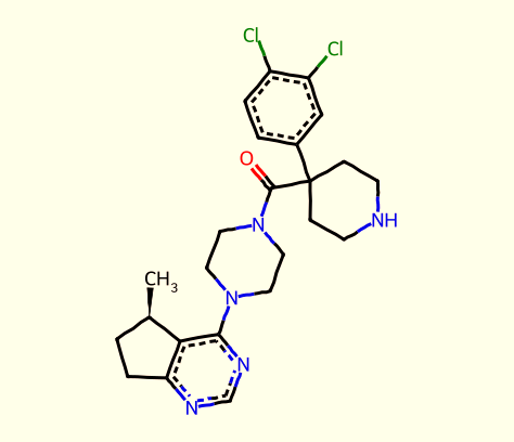 C[C@@H]1CCc2ncnc(N3CCN(C(=O)C4(c5ccc(Cl)c(Cl)c5)CCNCC4)CC3)c21